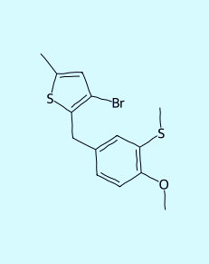 COc1ccc(Cc2sc(C)cc2Br)cc1SC